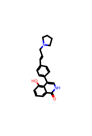 O=c1[nH]cc(-c2ccc(C=CCN3CCCC3)cc2)c2c(O)cccc12